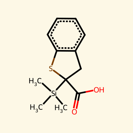 C[Si](C)(C)C1(C(=O)O)Cc2ccccc2S1